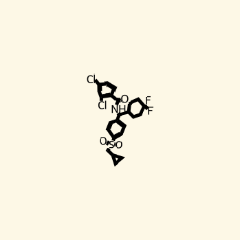 O=C(NC(c1ccc(S(=O)(=O)CC2CC2)cc1)C1CCC(F)(F)CC1)c1ccc(Cl)cc1Cl